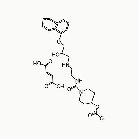 O=C(NCCNCC(O)COc1cccc2ccccc12)N1CCC(O[N+](=O)[O-])CC1.O=C(O)C=CC(=O)O